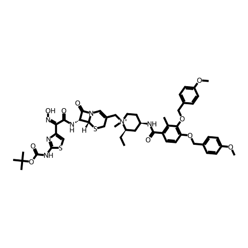 CC[C@@H]1C[C@H](NC(=O)c2ccc(OCc3ccc(OC)cc3)c(OCc3ccc(OC)cc3)c2C)CC[N+]1(C)CC1=CN2C(=O)[C@@H](NC(=O)/C(=N\O)c3csc(NC(=O)OC(C)(C)C)n3)[C@H]2SC1